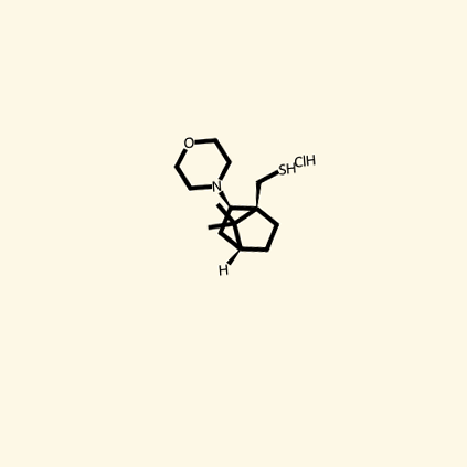 CC1(C)[C@@H]2CC[C@@]1(CS)[C@H](N1CCOCC1)C2.Cl